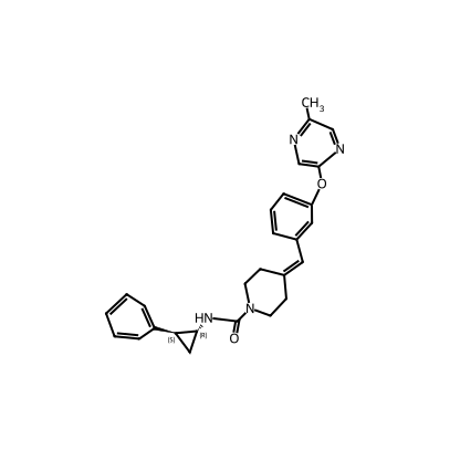 Cc1cnc(Oc2cccc(C=C3CCN(C(=O)N[C@@H]4C[C@H]4c4ccccc4)CC3)c2)cn1